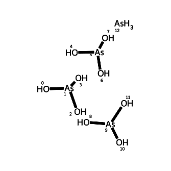 O[As](O)O.O[As](O)O.O[As](O)O.[AsH3]